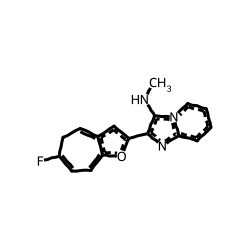 CNc1c(-c2cc3c(o2)=CC=C(F)CC=3)nc2ccccn12